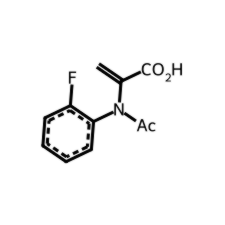 C=C(C(=O)O)N(C(C)=O)c1ccccc1F